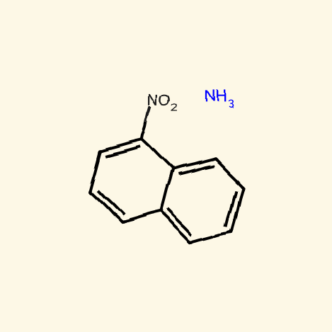 N.O=[N+]([O-])c1cccc2ccccc12